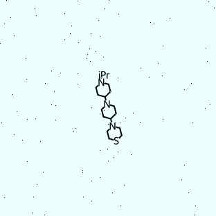 CC(C)N1CCC(N2CCC(N3CCSCC3)CC2)CC1